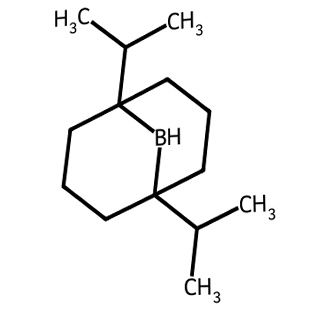 CC(C)C12BC(C(C)C)(CCC1)CCC2